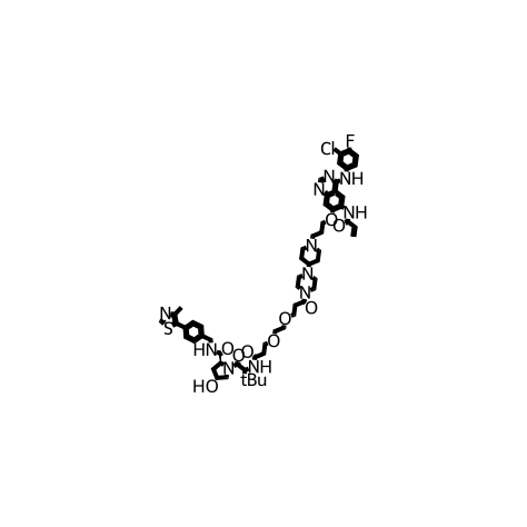 C=CC(=O)Nc1cc2c(Nc3ccc(F)c(Cl)c3)ncnc2cc1OCCCN1CCC(N2CCN(C(=O)CCOCCOCCC(=O)NC(C(=O)N3C[C@H](O)C[C@H]3C(=O)NCc3ccc(-c4scnc4C)cc3)C(C)(C)C)CC2)CC1